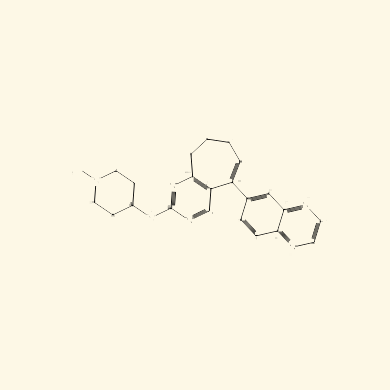 CN1CCC(Nc2ncc3c(n2)CCCC=C3c2ccc3nccnc3c2)CC1